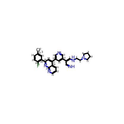 N=C/C(=C\NCCN1CCCC1)c1cncc(-c2cc(-c3cc(C(F)(F)F)ccc3F)nc3ncccc23)c1